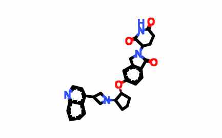 O=C1CCC(N2Cc3cc(O[C@@H]4CCC[C@H]4N4CC(c5ccnc6ccccc56)C4)ccc3C2=O)C(=O)N1